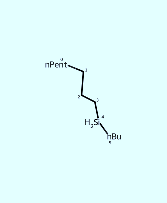 CCCCCCCC[SiH2]CCCC